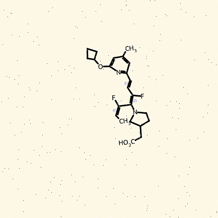 C\C=C(F)/C(=C(F)\C=C\c1cc(C)cc(OC2CCC2)n1)N1CCC(CC(=O)O)C1